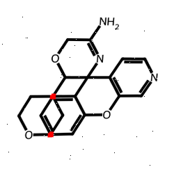 NC1=NC2(c3ccccc3Oc3cnccc32)C(C2CCOCC2)OC1